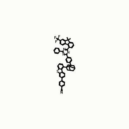 CC1(C)c2cc(C(F)(F)F)ccc2-c2c(-c3nc(-c4ccccc4)nc(-c4ccc(C56CC7CC(C5)CC(c5cccc8sc9cc(-c%10ccc(C#N)cc%10)ccc9c58)(C7)C6)cc4)n3)cccc21